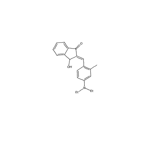 CCN(CC)c1ccc(C=C2C(=O)c3ccccc3C2O)c(C)c1